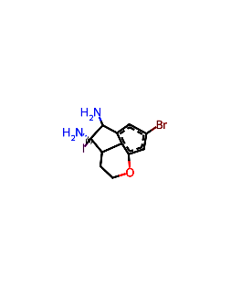 NC1c2cc(Br)cc3c2C(CCO3)[C@@]1(N)I